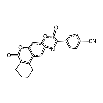 N#Cc1ccc(-c2nc3cc4c5c(c(=O)oc4cc3oc2=O)CCCC5)cc1